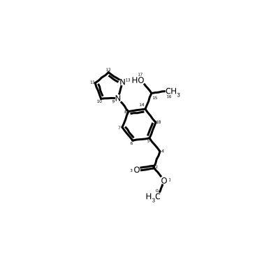 COC(=O)Cc1ccc(-n2cccn2)c(C(C)O)c1